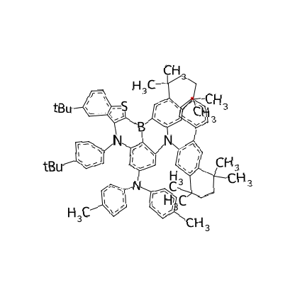 Cc1ccc(N(c2ccc(C)cc2)c2cc3c4c(c2)N(c2ccc(C(C)(C)C)cc2)c2c(sc5ccc(C(C)(C)C)cc25)B4c2cc4c(cc2N3c2cc3c(cc2-c2ccccc2)C(C)(C)CCC3(C)C)C(C)(C)CCC4(C)C)cc1